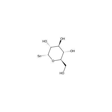 OC[C@H]1O[C@H]([Sn])[C@H](O)[C@@H](O)[C@@H]1O